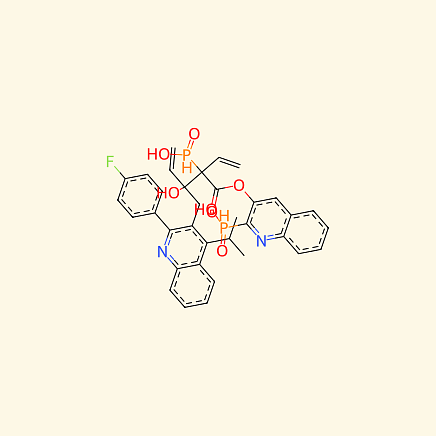 C=CC(O)(Cc1c(-c2ccc(F)cc2)nc2ccccc2c1C(C)C)C(C=C)(C(=O)Oc1cc2ccccc2nc1[PH](=O)O)[PH](=O)O